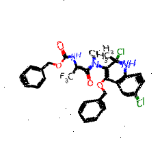 CN(C(=O)C(NC(=O)OCc1ccccc1)C(F)(F)F)C1=C(OCc2ccccc2)c2cc(Cl)ccc2NC1(C)Cl